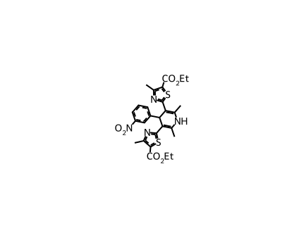 CCOC(=O)c1sc(C2=C(C)NC(C)=C(c3nc(C)c(C(=O)OCC)s3)C2c2cccc([N+](=O)[O-])c2)nc1C